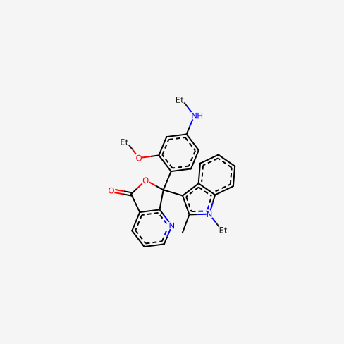 CCNc1ccc(C2(c3c(C)n(CC)c4ccccc34)OC(=O)c3cccnc32)c(OCC)c1